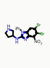 CC(C)n1c(NC2CCNC2)nc2c([N+](=O)[O-])c(Br)c(Br)cc21